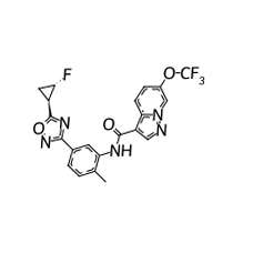 Cc1ccc(-c2noc([C@H]3C[C@@H]3F)n2)cc1NC(=O)c1cnn2cc(OC(F)(F)F)ccc12